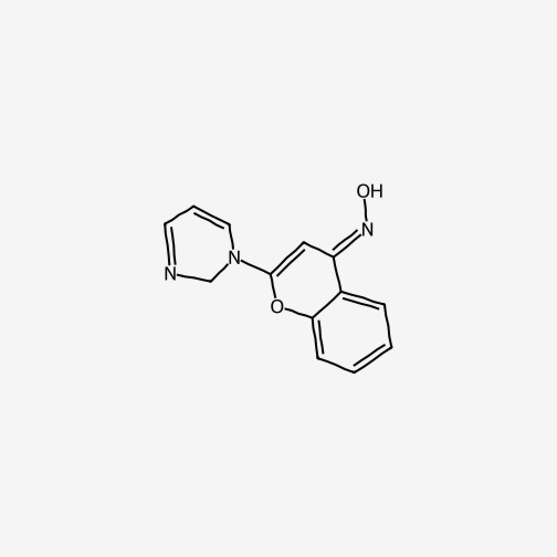 ON=c1cc(N2C=CC=NC2)oc2ccccc12